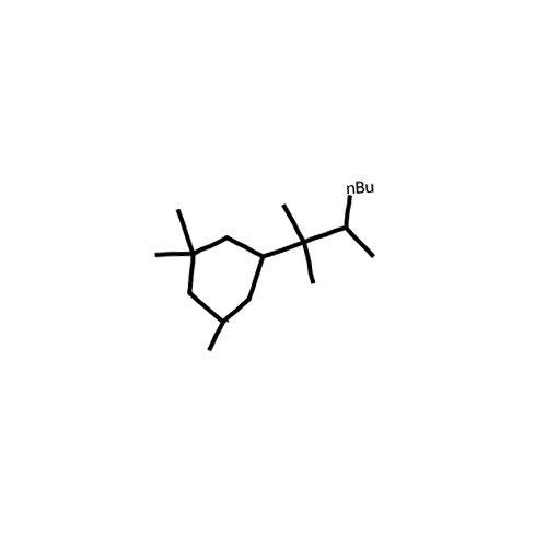 [CH2]CCCC(C)C(C)(C)C1C[C](C)CC(C)(C)C1